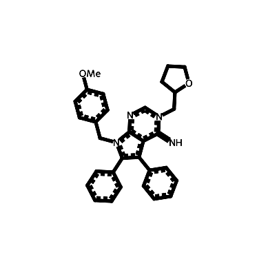 COc1ccc(Cn2c(-c3ccccc3)c(-c3ccccc3)c3c(=N)n(CC4CCCO4)cnc32)cc1